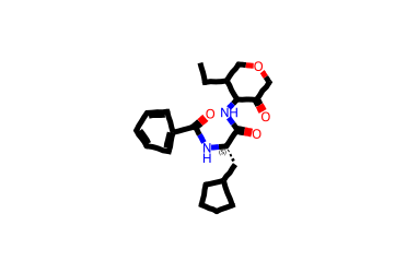 CCC1COCC(=O)C1NC(=O)[C@H](CC1CCCC1)NC(=O)c1ccccc1